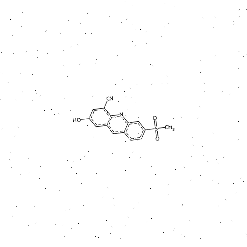 CS(=O)(=O)c1ccc2cc3cc(O)cc(C#N)c3nc2c1